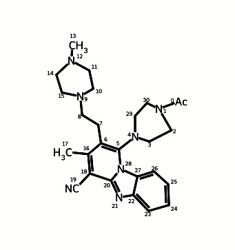 CC(=O)N1CCN(c2c(CCN3CCN(C)CC3)c(C)c(C#N)c3nc4ccccc4n23)CC1